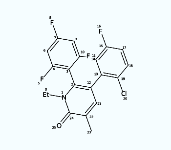 CCn1c(-c2c(F)cc(F)cc2F)c(-c2cc(F)ccc2Cl)cc(C)c1=O